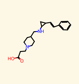 O=C(O)CCN1CCC(CNC2CC2C=Cc2ccccc2)CC1